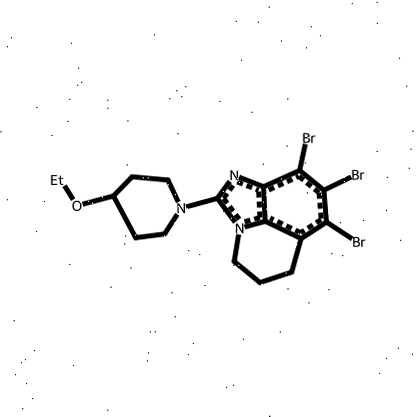 CCOC1CCN(c2nc3c(Br)c(Br)c(Br)c4c3n2CCC4)CC1